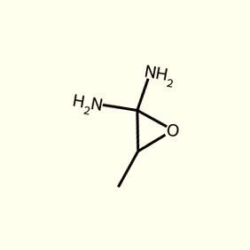 CC1OC1(N)N